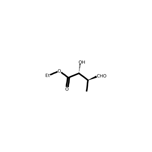 CCOC(=O)[C@H](O)[C@H](C)C=O